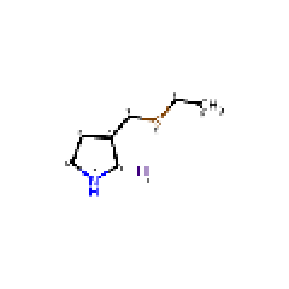 CCSCC1CCNC1.I